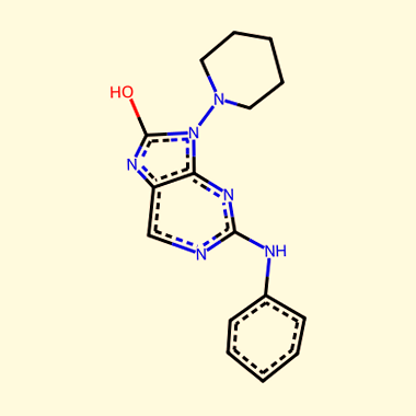 Oc1nc2cnc(Nc3ccccc3)nc2n1N1CCCCC1